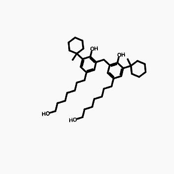 CC1(c2cc(CCCCCCCO)cc(Cc3cc(CCCCCCCO)cc(C4(C)CCCCC4)c3O)c2O)CCCCC1